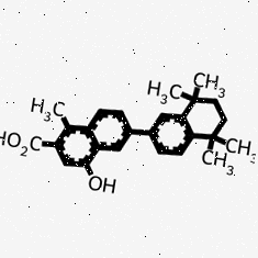 Cc1c(C(=O)O)cc(O)c2cc(-c3ccc4c(c3)C(C)(C)CCC4(C)C)ccc12